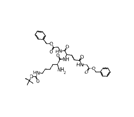 CC(C)(C)OC(=O)NCCCCC(N)C(=O)NC(CCC(=O)NCC(=O)OCc1ccccc1)C(=O)NCC(=O)OCc1ccccc1